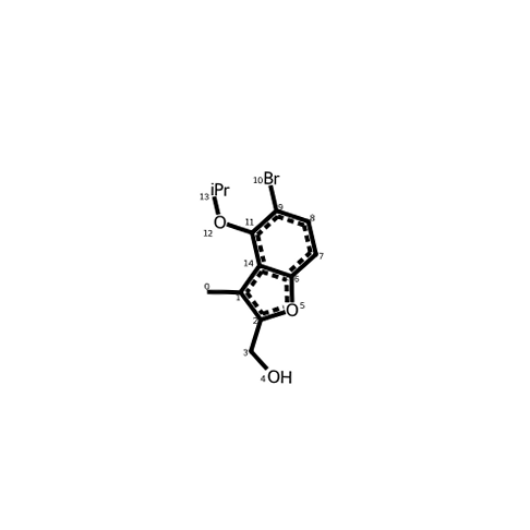 Cc1c(CO)oc2ccc(Br)c(OC(C)C)c12